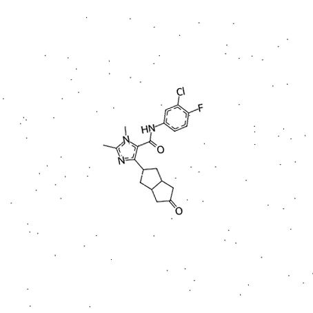 Cc1nc(C2CC3CC(=O)CC3C2)c(C(=O)Nc2ccc(F)c(Cl)c2)n1C